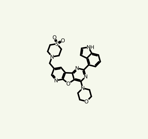 O=S1(=O)CCN(Cc2cnc3oc4c(N5CCOCC5)nc(-c5cccc6[nH]ccc56)nc4c3c2)CC1